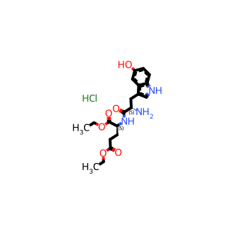 CCOC(=O)CC[C@H](NC(=O)[C@@H](N)Cc1c[nH]c2ccc(O)cc12)C(=O)OCC.Cl